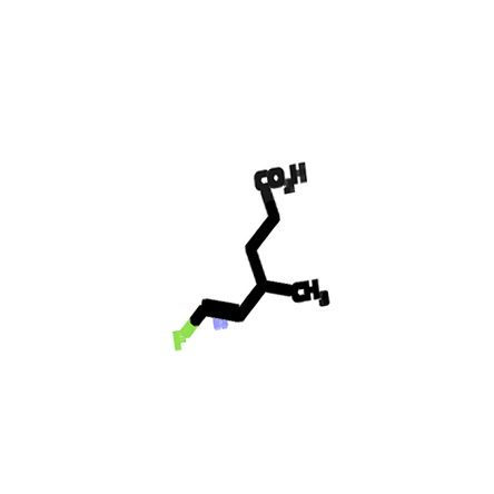 CC(/C=C/F)CCC(=O)O